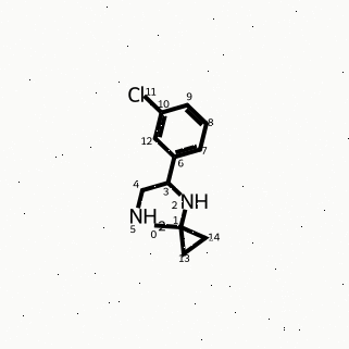 CC1(NC(CN)c2cccc(Cl)c2)CC1